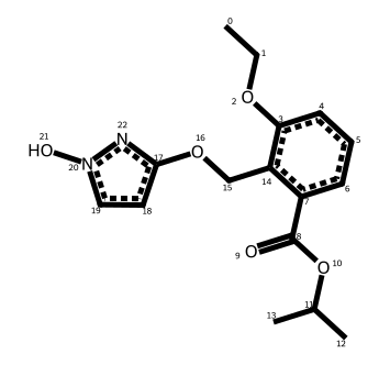 CCOc1cccc(C(=O)OC(C)C)c1COc1ccn(O)n1